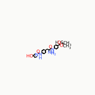 CC(C)(C)OC(=O)c1ccc(NC(=O)[C@@H](N)Cc2ccc(NC(=O)N3CC[C@@H](O)C3)cc2)cc1